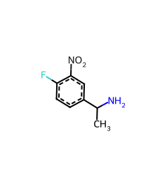 CC(N)c1ccc(F)c([N+](=O)[O-])c1